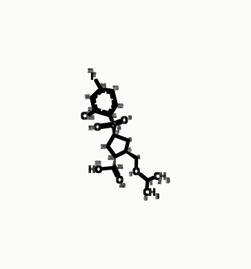 CC(C)OC[C@@H]1C[C@H](S(=O)(=O)c2ccc(F)cc2Cl)C[C@H]1C(=O)O